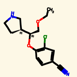 CCOC[C@@H](Oc1ccc(C#N)cc1Cl)[C@@H]1CCNC1